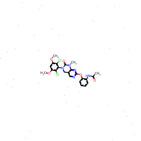 COc1cc(OC)c(Cl)c(N2Cc3cnc(Oc4ccccc4NC(C)=O)nc3N(C)C2=O)c1Cl